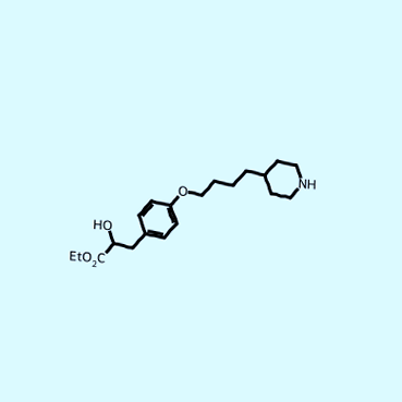 CCOC(=O)C(O)Cc1ccc(OCCCCC2CCNCC2)cc1